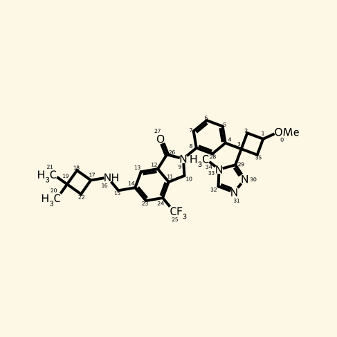 COC1CC(c2cccc(N3Cc4c(cc(CNC5CC(C)(C)C5)cc4C(F)(F)F)C3=O)c2)(c2nncn2C)C1